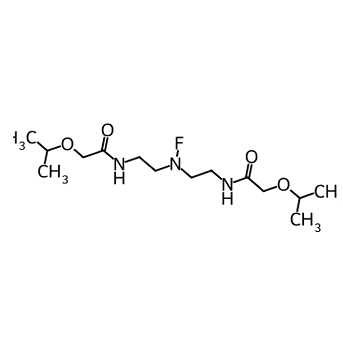 CC(C)OCC(=O)NCCN(F)CCNC(=O)COC(C)C